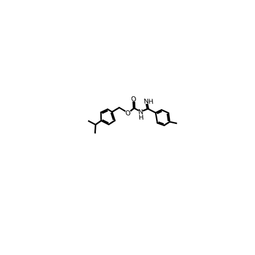 Cc1ccc(C(=N)NC(=O)OCc2ccc(C(C)C)cc2)cc1